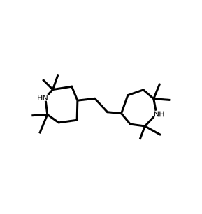 CC1(C)CCC(CCC2CCC(C)(C)NC(C)(C)C2)CC(C)(C)N1